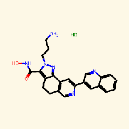 Cl.NCCCn1nc2c(c1C(=O)NO)CCc1cnc(-c3cnc4ccccc4c3)cc1-2